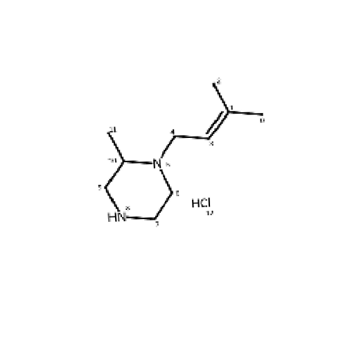 CC(C)=CCN1CCNCC1C.Cl